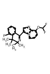 CC1(C)N=C(c2cnc3c(OC(F)F)cccn23)c2cccc(F)c2C1(C)C